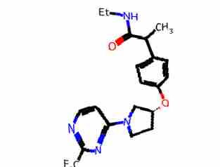 CCNC(=O)C(C)c1ccc(O[C@@H]2CCN(c3ccnc(C(F)(F)F)n3)C2)cc1